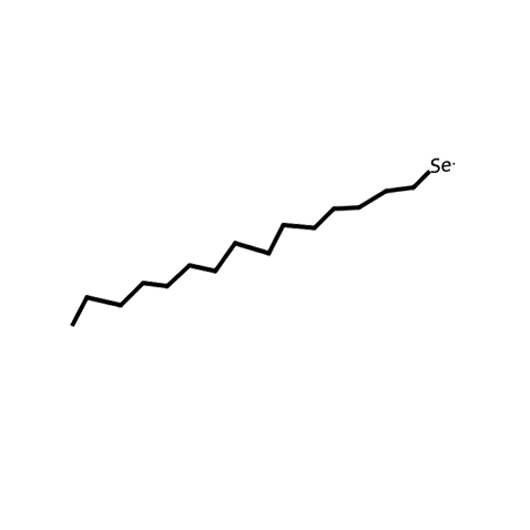 CCCCCCCCCCCCCCC[Se]